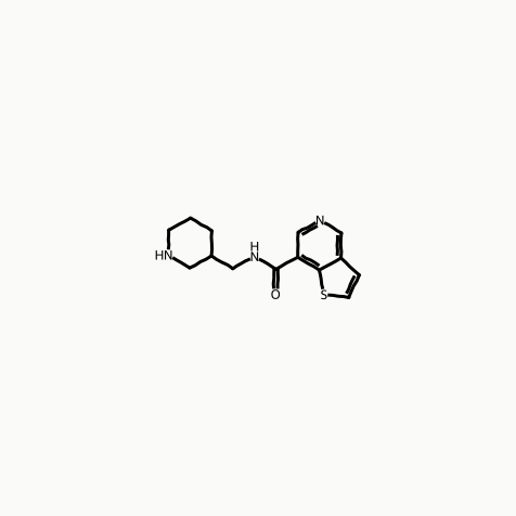 O=C(NCC1CCCNC1)c1cncc2ccsc12